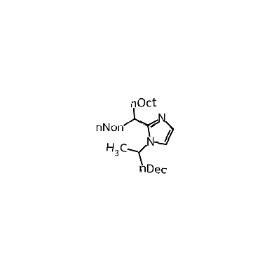 CCCCCCCCCCC(C)n1ccnc1C(CCCCCCCC)CCCCCCCCC